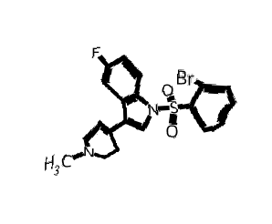 CN1CC=C(c2cn(S(=O)(=O)c3ccccc3Br)c3ccc(F)cc23)CC1